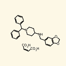 O=C(O)/C=C\C(=O)O.c1ccc(C(c2ccccc2)N2CCC(NCc3ccc4c(c3)OCO4)CC2)cc1